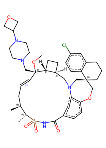 CO[C@@]1(CN2CCN(C3COC3)CC2)/C=C/C[C@H](C)[C@@H](C)S(=O)(=O)NC(=O)c2ccc3c(c2)N(C[C@@H]2CC[C@H]21)C[C@@]1(CCCc2cc(Cl)ccc21)CO3